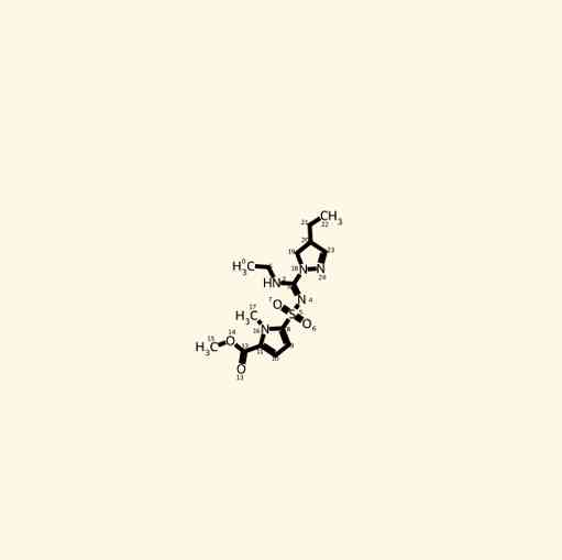 CCN/C(=N\S(=O)(=O)c1ccc(C(=O)OC)n1C)N1CC(CC)C=N1